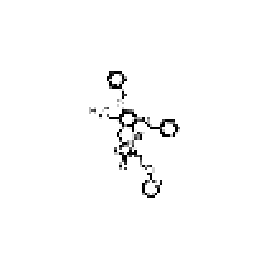 CCc1c(OCc2ccccc2)cc(OCc2ccccc2)c(Br)c1Cc1nn(CCOC2CCCCO2)c(=O)o1